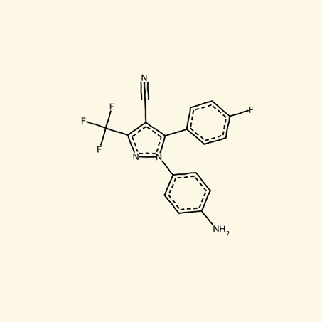 N#Cc1c(C(F)(F)F)nn(-c2ccc(N)cc2)c1-c1ccc(F)cc1